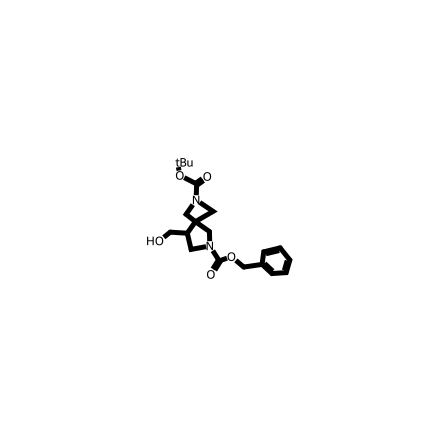 CC(C)(C)OC(=O)N1CC2(CN(C(=O)OCc3ccccc3)CC2CO)C1